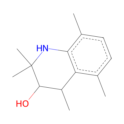 Cc1ccc(C)c2c1NC(C)(C)C(O)C2C